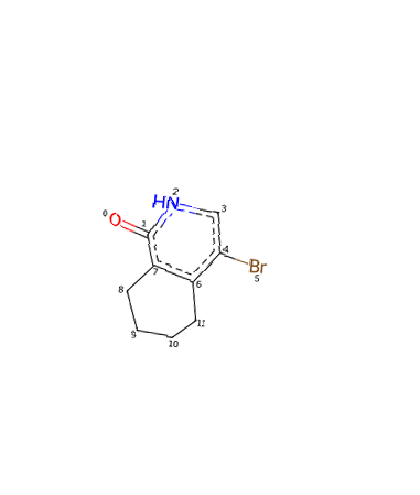 O=c1[nH]cc(Br)c2c1CCCC2